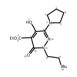 CCOC(=O)c1c(O)c(N2CCCC2)nn(CCC(C)(C)C)c1=O